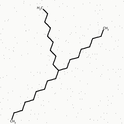 CCCCCCCCCC(CCCCCCCC)CCCCCCCCC